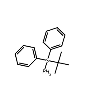 CC(C)(C)S(P)(c1ccccc1)c1ccccc1